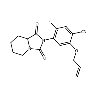 C=CCOc1cc(N2C(=O)C3CCCCN3C2=O)c(F)cc1C#N